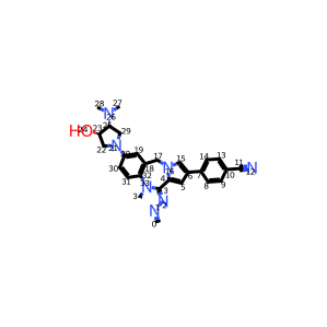 C=N/N=C1/c2cc(-c3ccc(C#N)cc3)cn2Cc2cc(N3C[C@@H](O)[C@H](N(C)C)C3)ccc2N1C